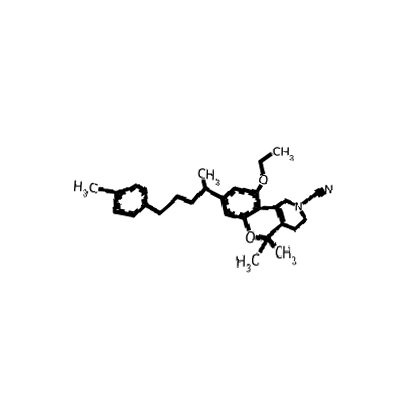 CCOc1cc(C(C)CCCc2ccc(C)cc2)cc2c1C1=C(CCN(C#N)C1)C(C)(C)O2